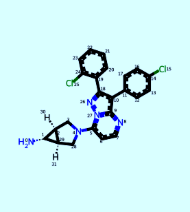 N[C@@H]1[C@H]2CN(c3ccnc4c(-c5ccc(Cl)cc5)c(-c5ccccc5Cl)nn34)C[C@@H]12